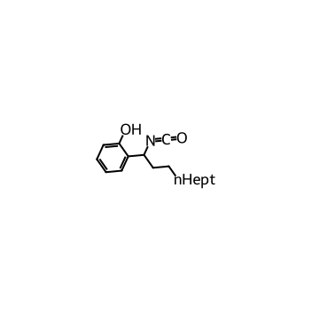 CCCCCCCCCC(N=C=O)c1ccccc1O